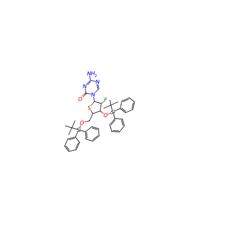 CC(C)(C)[Si](OCC1SC(n2cnc(N)nc2=O)C(F)C1O[Si](c1ccccc1)(c1ccccc1)C(C)(C)C)(c1ccccc1)c1ccccc1